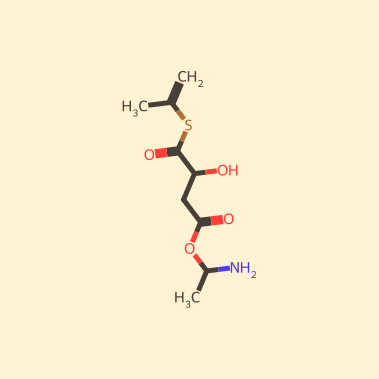 C=C(C)SC(=O)C(O)CC(=O)OC(C)N